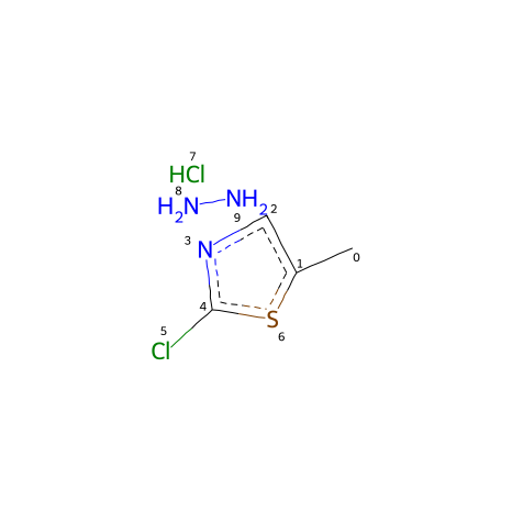 Cc1cnc(Cl)s1.Cl.NN